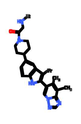 CCNCC(=O)N1CCC(c2ccc3[nH]c(-c4cn5ncnc5c(C)c4C)c(C(C)C)c3c2)CC1